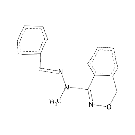 CN(/N=C/c1ccccc1)C1=NOCc2ccccc21